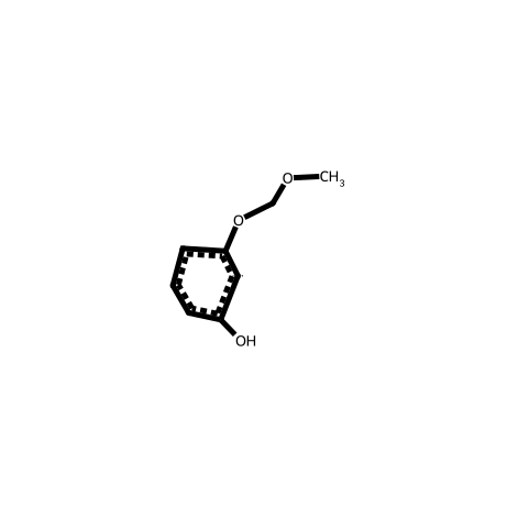 COCOc1[c]c(O)ccc1